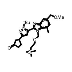 COCc1cc(C)c2c(c1)nc(-c1cc(C3CCC(=O)C3)nn1C(C)(C)C)n2COCC[Si](C)(C)C